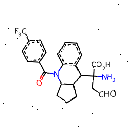 NC(CC=O)(C(=O)O)C1c2ccccc2N(C(=O)c2ccc(C(F)(F)F)cc2)C2CCCC21